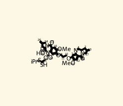 C=C1CC2C=Nc3cc(OCCCOc4cc5c(cc4OC)C(=O)N4CC(=C)C[C@H]4C(O)N5C(=O)OCC(S)SC(C)C)c(OC)cc3C(=O)N2C1